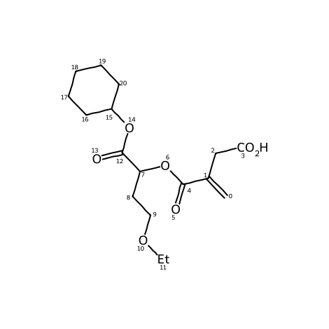 C=C(CC(=O)O)C(=O)OC(CCOCC)C(=O)OC1CCCCC1